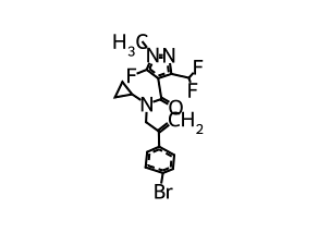 C=C(CN(C(=O)c1c(C(F)F)nn(C)c1F)C1CC1)c1ccc(Br)cc1